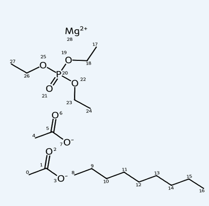 CC(=O)[O-].CC(=O)[O-].CCCCCCCCC.CCOP(=O)(OCC)OCC.[Mg+2]